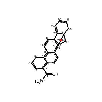 NC(=O)C1=c2ccc3c(c2CC=C1)C=CC12OCC4(C=CC=31)CC=CC=C42